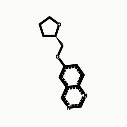 c1ncc2cc(OC[C@@H]3CCCO3)ccc2n1